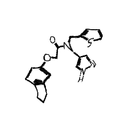 O=C(COc1ccc2c(c1)CCC2)N(Cc1cccs1)c1cn[nH]c1